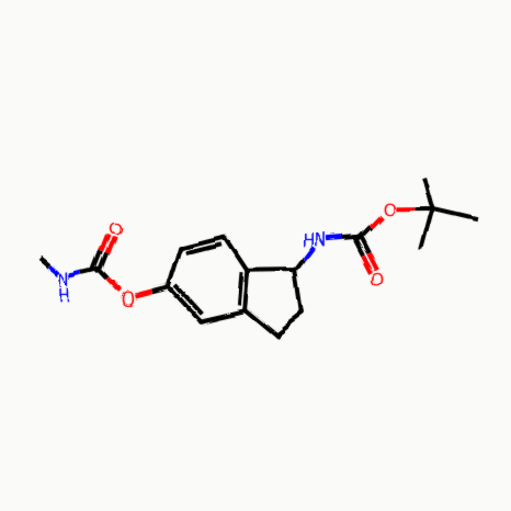 CNC(=O)Oc1ccc2c(c1)CCC2NC(=O)OC(C)(C)C